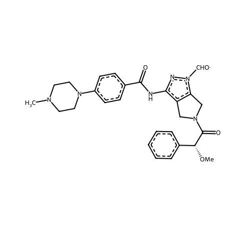 CO[C@@H](C(=O)N1Cc2c(NC(=O)c3ccc(N4CCN(C)CC4)cc3)nn([C]=O)c2C1)c1ccccc1